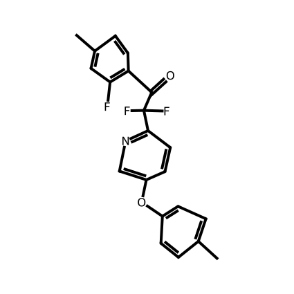 Cc1ccc(Oc2ccc(C(F)(F)C(=O)c3ccc(C)cc3F)nc2)cc1